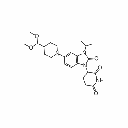 COC(OC)C1CCN(c2ccc3c(c2)n(C(C)C)c(=O)n3C2CCC(=O)NC2=O)CC1